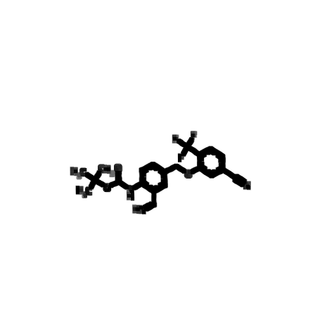 CC(C)(C)OC(=O)Nc1ccc(COc2cc(C#N)ccc2C(F)(F)F)cc1C=N